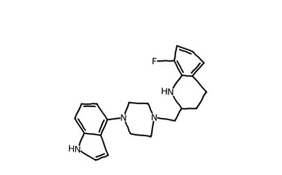 Fc1cccc2c1NC(CN1CCN(c3cccc4[nH]ccc34)CC1)CC2